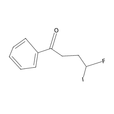 O=C(CCC(F)I)c1ccccc1